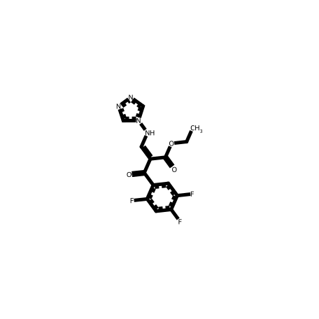 CCOC(=O)C(=CNn1cnnc1)C(=O)c1cc(F)c(F)cc1F